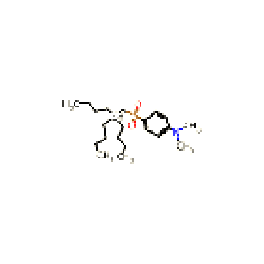 CCC[CH2][Sn]([CH2]CCC)([CH2]CCC)[CH2]S(=O)(=O)c1ccc(N(C)C)cc1